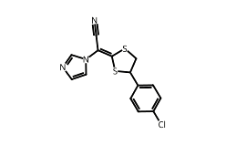 N#CC(=C1SCC(c2ccc(Cl)cc2)S1)n1ccnc1